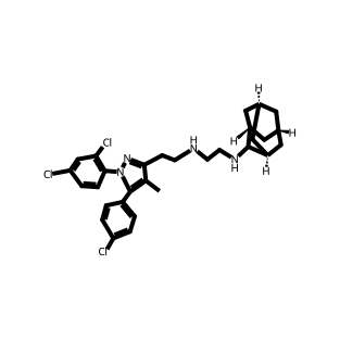 Cc1c(CCNCCNC2[C@H]3C[C@@H]4C[C@@H](C[C@H]2C4)C3)nn(-c2ccc(Cl)cc2Cl)c1-c1ccc(Cl)cc1